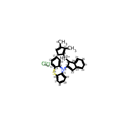 CC1=CC[C]([Hf+2][CH]2C(N3c4ccccc4Sc4ccccc43)=Cc3ccccc32)=C1C.[Cl-].[Cl-]